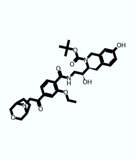 CCOc1cc(C(=O)CN2C3CCC2COC3)ccc1C(=O)NC[C@@H](O)[C@@H]1Cc2ccc(O)cc2CN1C(=O)OC(C)(C)C